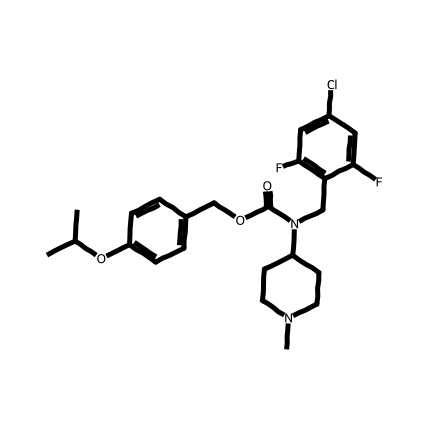 CC(C)Oc1ccc(COC(=O)N(Cc2c(F)cc(Cl)cc2F)C2CCN(C)CC2)cc1